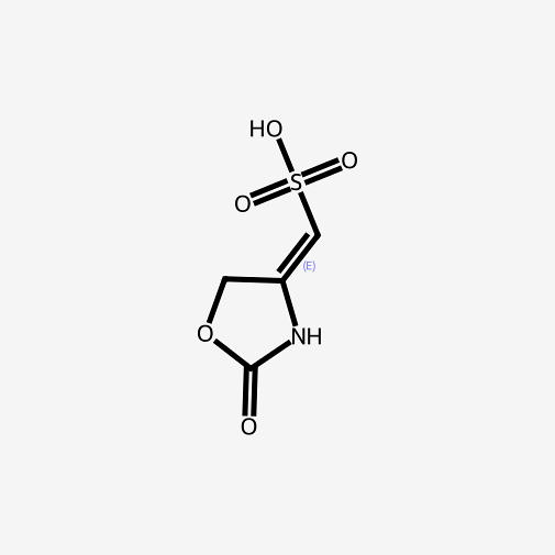 O=C1N/C(=C/S(=O)(=O)O)CO1